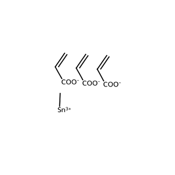 C=CC(=O)[O-].C=CC(=O)[O-].C=CC(=O)[O-].[CH3][Sn+3]